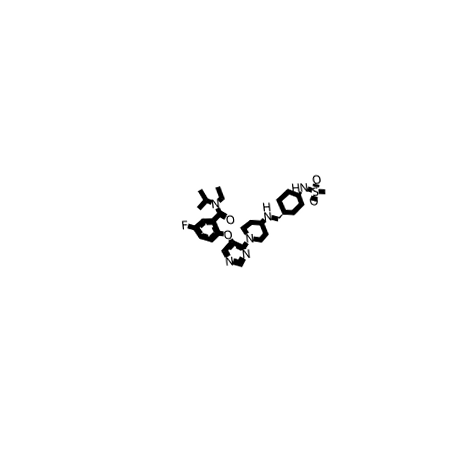 CCN(C(=O)c1cc(F)ccc1Oc1cncnc1N1CCC(NC[C@H]2CC[C@H](NS(C)(=O)=O)CC2)CC1)C(C)C